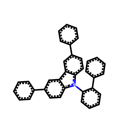 c1ccc(-c2ccc3c(c2)c2cc(-c4ccccc4)ccc2n3-c2ccccc2-c2ccccc2)cc1